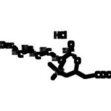 C[N+](C)(C)CC(CC(=O)[O-])O[13C](=O)[13CH2][13CH2][13CH2][13CH2][13CH2][13CH2][13CH2][13CH2][13CH2][13CH2][13CH2][13CH2][13CH2][13CH2][13CH3].Cl